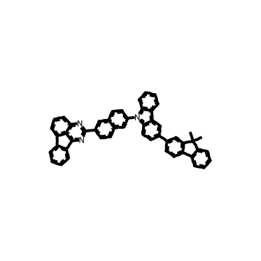 CC1(C)c2ccccc2-c2ccc(-c3ccc4c(c3)c3ccccc3n4-c3ccc4cc(-c5nc6c7c(cccc7n5)-c5ccccc5-6)ccc4c3)cc21